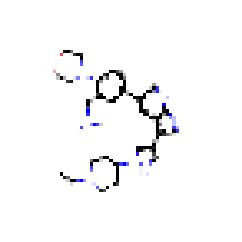 CCN1CCC(n2cc(-c3c[nH]c4ncc(-c5ccc(N6CCOCC6)c(CN(C)C)c5)cc34)cn2)CC1